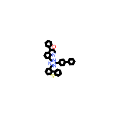 c1ccc(-c2ccc(-c3nc(-c4cccc5c4ncc4oc6ccccc6c45)nc(-c4cccc5sc6ccccc6c45)n3)cc2)cc1